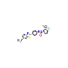 Cc1ccc2nc(-c3ccc(NC(=O)c4ccc(F)c([N+](=O)[O-])c4)cc3)sc2c1